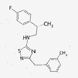 Cc1cccc(Cc2nsc(NC[C@@H](C)c3ccc(F)cc3)n2)c1